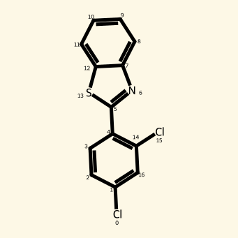 Clc1ccc(-c2nc3ccccc3s2)c(Cl)c1